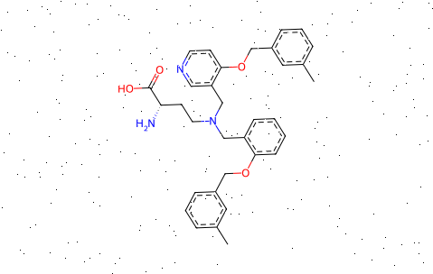 Cc1cccc(COc2ccccc2CN(CC[C@H](N)C(=O)O)Cc2cnccc2OCc2cccc(C)c2)c1